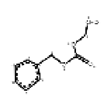 O=[C]COC(=O)OCc1ccccc1